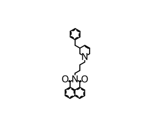 O=C1c2cccc3cccc(c23)C(=O)N1CCCCN1CC=CC(Cc2ccccc2)C1